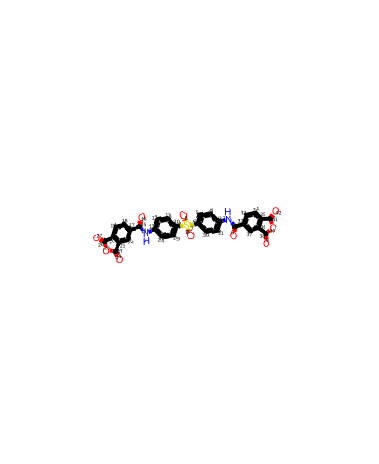 O=C(Nc1ccc(S(=O)(=O)c2ccc(NC(=O)c3ccc4c(c3)C(=O)OC4=O)cc2)cc1)c1ccc2c(c1)C(=O)OC2=O